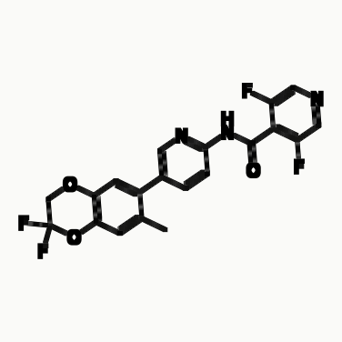 Cc1cc2c(cc1-c1ccc(NC(=O)c3c(F)cncc3F)nc1)OCC(F)(F)O2